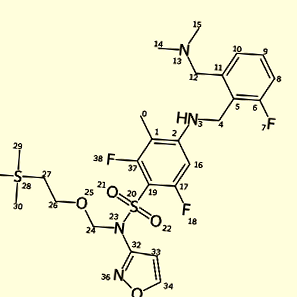 Cc1c(NCc2c(F)cccc2CN(C)C)cc(F)c(S(=O)(=O)N(COCCS(C)(C)C)c2ccon2)c1F